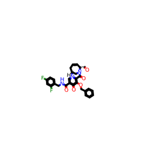 O=C[C@H]1C=CC[C@H]2CN1C(=O)c1c(OCc3ccccc3)c(=O)c(C(=O)NCc3ccc(F)cc3F)cn12